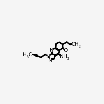 C=CCC1CCc2nc3c(cnn3CCC#CC)c(N)c2C1=O